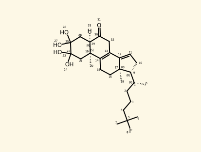 C[C@H](CCCC(C)(C)F)[C@H]1CC=C2C3=C(CC[C@@]21C)[C@@]1(C)CC(O)(O)C(O)(O)C[C@H]1C(=O)C3